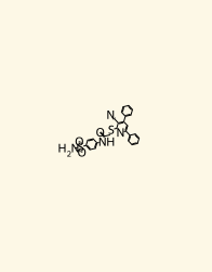 N#Cc1c(-c2ccccc2)cc(-c2ccccc2)nc1SCC(=O)Nc1ccc(S(N)(=O)=O)cc1